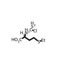 CCSCCC(N)C(=O)O.CCl.S